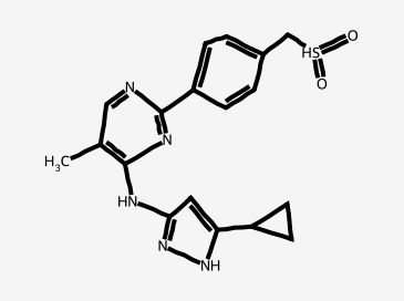 Cc1cnc(-c2ccc(C[SH](=O)=O)cc2)nc1Nc1cc(C2CC2)[nH]n1